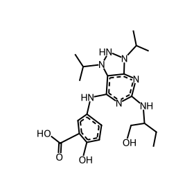 CCC(CO)Nc1nc(Nc2ccc(O)c(C(=O)O)c2)c2c(n1)N(C(C)C)NN2C(C)C